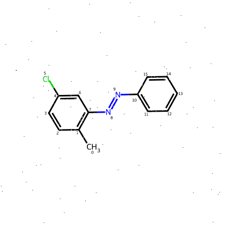 Cc1ccc(Cl)cc1N=Nc1ccccc1